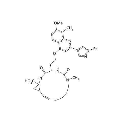 CCn1cc(-c2cc(OCCC3NC(=O)N(C)CCCCC=CC4CC4(C(=O)O)NC3=O)c3ccc(OC)c(C)c3n2)cn1